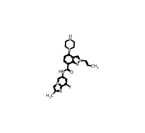 C/C=C/n1cc2c(N3CCNCC3)ccc(C(=O)Nc3cc(F)c4nc(C)cn4c3)c2n1